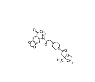 CC(=O)c1cc2c(cc1NC(=O)CN1CCN(C(=O)CC(C)(C)C)CC1)OCO2